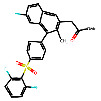 COC(=O)Cc1cc2ccc(F)cc2c(-c2ccc(S(=O)(=O)c3c(F)cccc3F)cc2)c1C